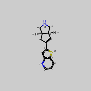 C1=C(c2cc3ncccc3s2)C[C@@H]2CNC[C@H]12